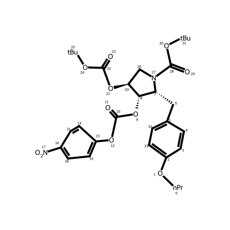 CCCOc1ccc(C[C@@H]2[C@H](OC(=O)Oc3ccc([N+](=O)[O-])cc3)[C@@H](OC(=O)OC(C)(C)C)CN2C(=O)OC(C)(C)C)cc1